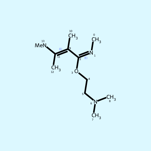 C/N=C(OCCN(C)C)\C(C)=C(/C)NC